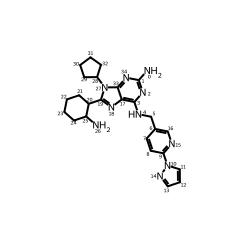 Nc1nc(NCc2ccc(-n3cccn3)nc2)c2nc(C3CCCCC3N)n(C3CCCC3)c2n1